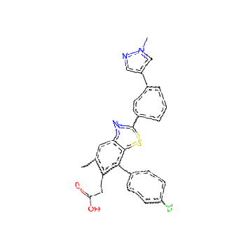 Cc1cc2nc(-c3cccc(-c4cnn(C)c4)c3)sc2c(-c2ccc(Cl)cc2)c1CC(=O)O